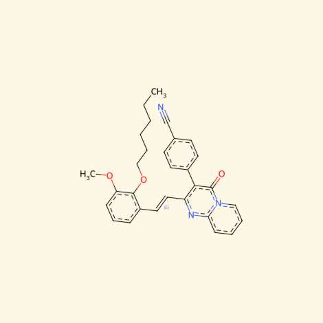 CCCCCCOc1c(/C=C/c2nc3ccccn3c(=O)c2-c2ccc(C#N)cc2)cccc1OC